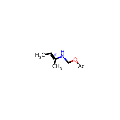 C/C=C(\C)NCOC(C)=O